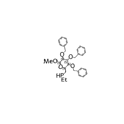 CCPC[C@H]1O[C@H](OC)[C@@H](OCc2ccccc2)[C@@H](OCc2ccccc2)[C@@H]1OCc1ccccc1